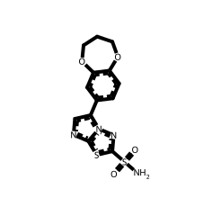 NS(=O)(=O)c1nn2c(-c3ccc4c(c3)OCCCO4)cnc2s1